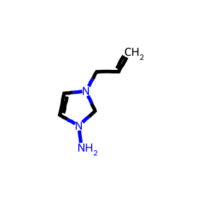 C=CCN1C=CN(N)C1